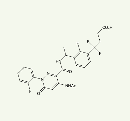 CC(=O)Nc1cc(=O)n(-c2ccccc2F)nc1C(=O)NC(C)c1cccc(C(F)(F)CCC(=O)O)c1F